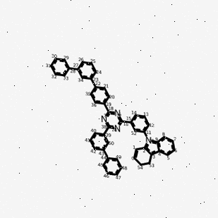 C1=Cc2c(c3ccccc3n2-c2cccc(-c3nc(-c4ccc(-c5cccc(-c6ccccc6)c5)cc4)nc(-c4cccc(-c5ccccc5)c4)n3)c2)CC1